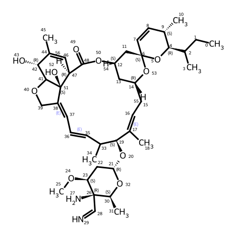 CCC(C)[C@H]1O[C@]2(C=C[C@@H]1C)C[C@@H]1C[C@@H](C/C=C(\C)[C@@H](O[C@H]3C[C@H](OC)[C@@](N)(C=N)[C@H](C)O3)C(C)/C=C/C=C3\COC4[C@H](O)C(C)=C[C@@H](C(=O)O1)[C@]34O)O2